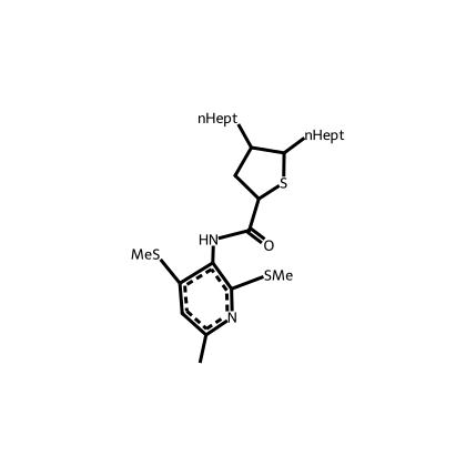 CCCCCCCC1CC(C(=O)Nc2c(SC)cc(C)nc2SC)SC1CCCCCCC